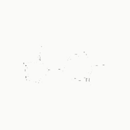 Cc1ncc(-c2ccnn2C)cn1